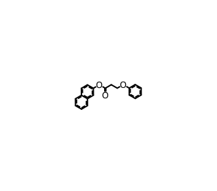 O=C(CCOc1ccccc1)Oc1ccc2ccccc2c1